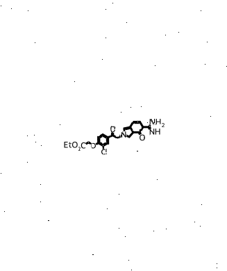 CCOC(=O)COc1ccc(C(=O)CN2C=C3C=CC(C(=N)N)C(=O)C3C2)cc1Cl